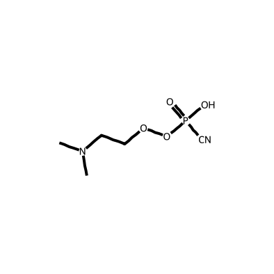 CN(C)CCOOP(=O)(O)C#N